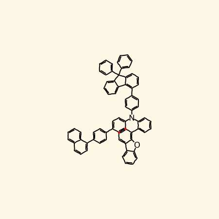 c1ccc(C2(c3ccccc3)c3ccccc3-c3c(-c4ccc(N(c5ccc(-c6ccc(-c7cccc8ccccc78)cc6)cc5)c5ccccc5-c5cccc6c5oc5ccccc56)cc4)cccc32)cc1